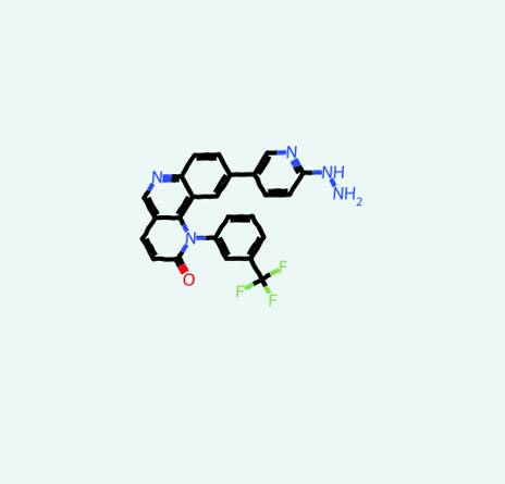 NNc1ccc(-c2ccc3ncc4ccc(=O)n(-c5cccc(C(F)(F)F)c5)c4c3c2)cn1